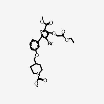 CCOC(=O)COc1c(C(=O)OC)sc(-c2cccc(OCC3CCN(C(=O)OC)CC3)c2)c1Br